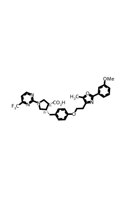 COc1cccc(-c2nc(CCOc3ccc(C[C@@H]4CN(c5nccc(C(F)(F)F)n5)C[C@@H]4C(=O)O)cc3)c(C)o2)c1